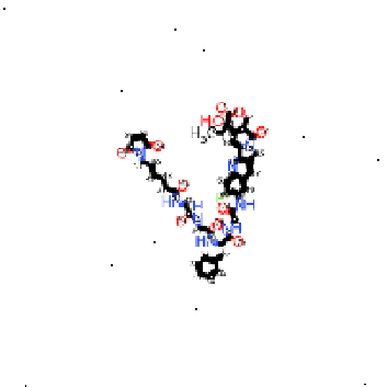 CC[C@@]1(O)C(=O)OCc2c1cc1n(c2=O)Cc2cc3cc(NC(=O)CNC(=O)[C@H](Cc4ccccc4)NC(=O)CNC(=O)CNC(=O)CCCCCN4C(=O)C=CC4=O)c(F)cc3nc2-1